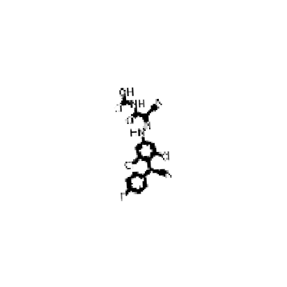 N#CC(=NNc1cc(Cl)c(C(C#N)c2ccc(F)cc2)c(Cl)c1)C(=O)NC(=O)O